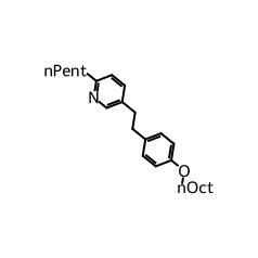 CCCCCCCCOc1ccc(CCc2ccc(CCCCC)nc2)cc1